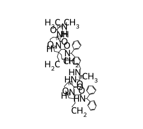 C=CCC1C[C@@H]2OCC[C@H](NC(=O)[C@H](C)NCc3ccc(C(NC(=O)C4N5C(=O)[C@@H](NC(=O)[C@H](C)NC)CCO[C@H]5CC4(CC=C)CC=C)c4ccccc4)cc3)C(=O)N2C1C(=O)NC(c1ccccc1)c1ccccc1